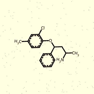 Cc1ccc(OC(CC(C)N)c2ccccc2)c(Cl)c1